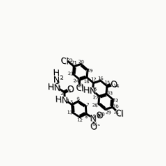 NNC(=O)Nc1ccc([N+](=O)[O-])cc1.O=C1CC(c2ccc(Cl)cc2Cl)Nc2ccc(Cl)cc21